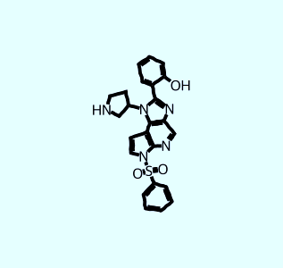 O=S(=O)(c1ccccc1)n1ccc2c1ncc1nc(-c3ccccc3O)n(C3CCNC3)c12